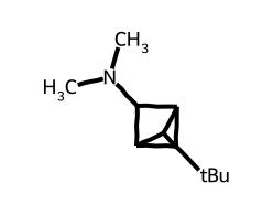 CN(C)C1C2CC1C2C(C)(C)C